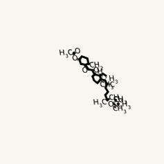 C=C1CC[C@H](OC(C)=O)CC12OC2C1OC12CCC[C@]1(C)[C@@H]([C@H](C)CCCC(C)(C)O[Si](C)(C)C)CC[C@@H]21